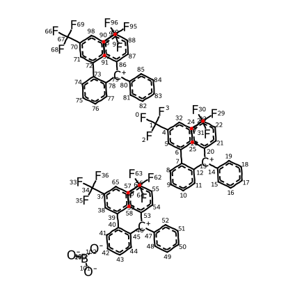 FC(F)(F)c1cc(-c2ccccc2[C+](c2ccccc2)c2ccccc2)cc(C(F)(F)F)c1.FC(F)(F)c1cc(-c2ccccc2[C+](c2ccccc2)c2ccccc2)cc(C(F)(F)F)c1.FC(F)(F)c1cc(-c2ccccc2[C+](c2ccccc2)c2ccccc2)cc(C(F)(F)F)c1.[O-]B([O-])[O-]